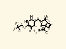 CC1=C(OCC(F)(F)I)NNC(CN2CC3(C(=N)Cl)C=CC3C2=O)=C1